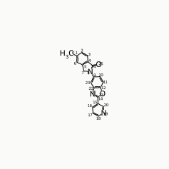 Cc1ccc2c(c1)CN(c1ccc3oc(-c4cccnc4)nc3c1)C2=O